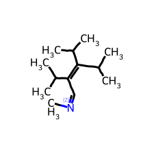 C/N=C\C(=C(C(C)C)C(C)C)C(C)C